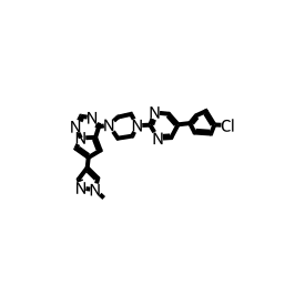 Cn1cc(-c2cc3c(N4CCN(c5ncc(-c6ccc(Cl)cc6)cn5)CC4)ncnn3c2)cn1